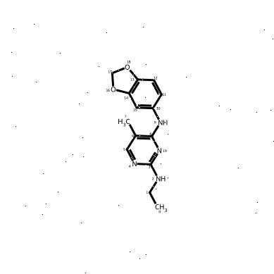 CCNc1ncc(C)c(Nc2ccc3c(c2)OCO3)n1